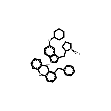 CN1CCCC1Cc1cn([C@H]2c3ccccc3Oc3cccc(Cc4ccccc4)c32)c2ccc(OC3CCCCC3)cc12